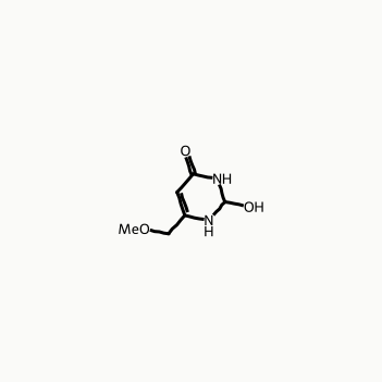 COCC1=CC(=O)NC(O)N1